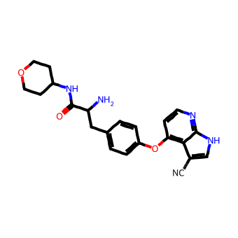 N#Cc1c[nH]c2nccc(Oc3ccc(CC(N)C(=O)NC4CCOCC4)cc3)c12